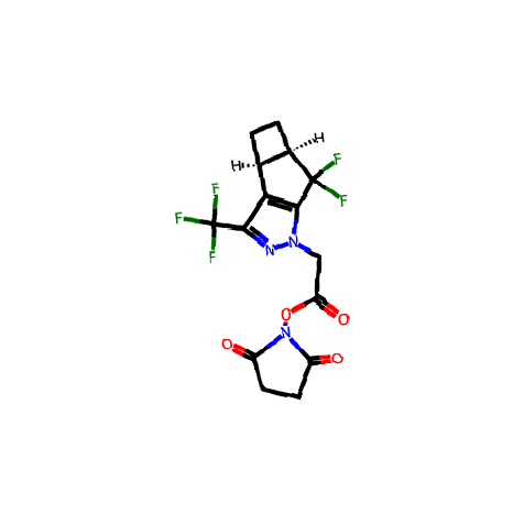 O=C(Cn1nc(C(F)(F)F)c2c1C(F)(F)[C@@H]1CC[C@H]21)ON1C(=O)CCC1=O